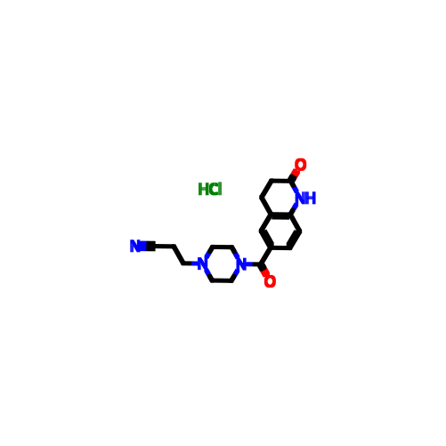 Cl.N#CCCN1CCN(C(=O)c2ccc3c(c2)CCC(=O)N3)CC1